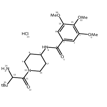 COc1cc(C(=O)NC2CCN(C(=O)C(N)C(C)(C)C)CC2)cc(OC)c1OC.Cl